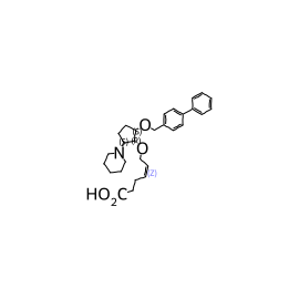 O=C(O)CC/C=C\CO[C@H]1[C@@H](OCc2ccc(-c3ccccc3)cc2)CC[C@@H]1N1CCCCC1